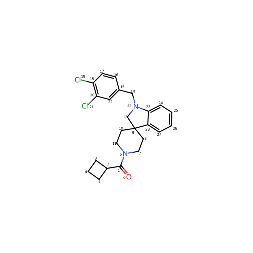 O=C(C1CCC1)N1CCC2(CC1)CN(Cc1ccc(Cl)c(Cl)c1)c1ccccc12